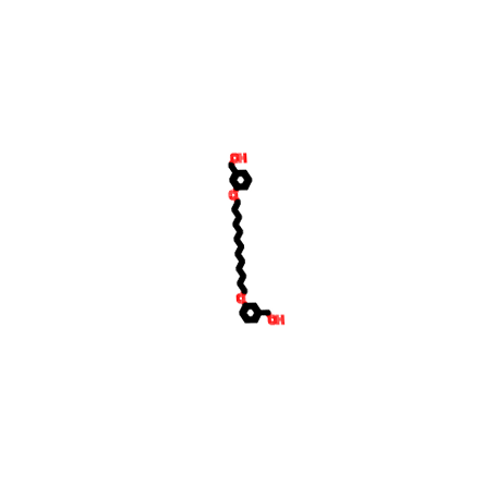 OCc1cccc(OCCCCCCCCCCCCCOc2cccc(CO)c2)c1